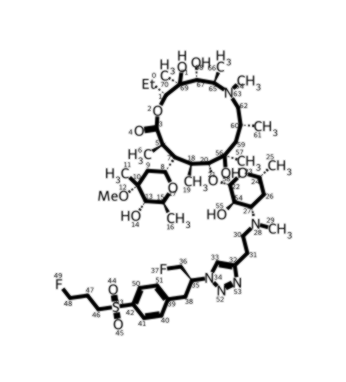 CC[C@H]1OC(=O)[C@H](C)C([C@H]2C[C@@](C)(OC)[C@@H](O)[C@H](C)O2)[C@H](C)[C@@H](O[C@@H]2O[C@H](C)C[C@H](N(C)CCc3cn([C@H](CF)Cc4ccc(S(=O)(=O)CCCF)cc4)nn3)[C@H]2O)[C@](C)(O)C[C@@H](C)CN(C)[C@H](C)[C@@H](O)[C@]1(C)O